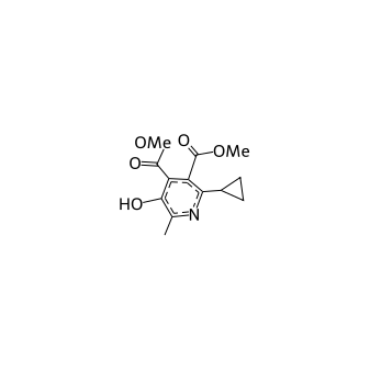 COC(=O)c1c(C2CC2)nc(C)c(O)c1C(=O)OC